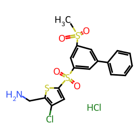 CS(=O)(=O)c1cc(-c2ccccc2)cc(S(=O)(=O)c2cc(Cl)c(CN)s2)c1.Cl